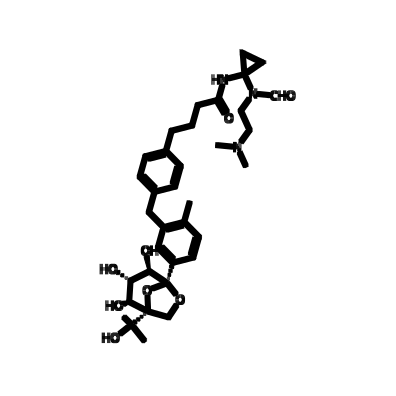 Cc1ccc([C@]23OC[C@](C(C)(C)O)(O2)[C@@H](O)[C@H](O)[C@H]3O)cc1Cc1ccc(CCCC(=O)NC2(N(C=O)CCN(C)C)CC2)cc1